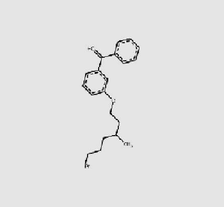 [CH]=C(c1cc[c]cc1)c1cccc(OCCC(C)CCCC(C)C)c1